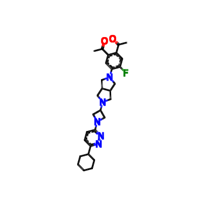 CC(=O)c1cc(F)c(N2CC3CN(C4CN(c5ccc(C6CCCCC6)nn5)C4)CC3C2)cc1C(C)=O